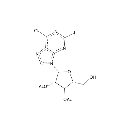 CC(=O)OC1[C@@H](CO)O[C@@H](n2cnc3c(Cl)nc(I)nc32)[C@H]1OC(C)=O